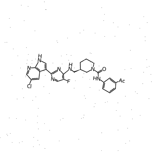 CC(=O)c1cccc(NC(=O)N2CCC[C@H](CNc3nc(-c4c[nH]c5ncc(Cl)cc45)ncc3F)C2)c1